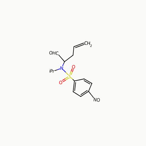 C=CCC(C=O)N(C(C)C)S(=O)(=O)c1ccc(N=O)cc1